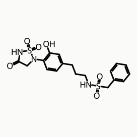 O=C1CN(c2ccc(CCCNS(=O)(=O)Cc3ccccc3)cc2O)S(=O)(=O)N1